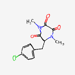 CN1C(=O)C(=O)N(C)C(Cc2ccc(Cl)cc2)C1=O